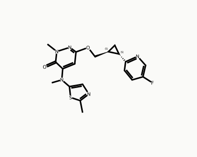 Cc1ncc(N(C)c2cc(OC[C@H]3C[C@@H]3c3ccc(F)cn3)nn(C)c2=O)s1